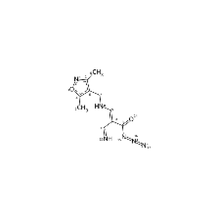 Cc1noc(C)c1CN/C=C(\C=N)C(=O)N=[N+]=[N-]